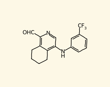 O=Cc1ncc(Nc2cccc(C(F)(F)F)c2)c2c1CCCC2